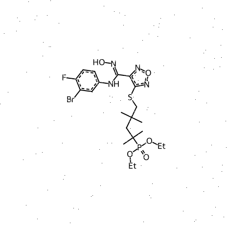 CCOP(=O)(OCC)C(C)(C)CC(C)(C)CSc1nonc1/C(=N/O)Nc1ccc(F)c(Br)c1